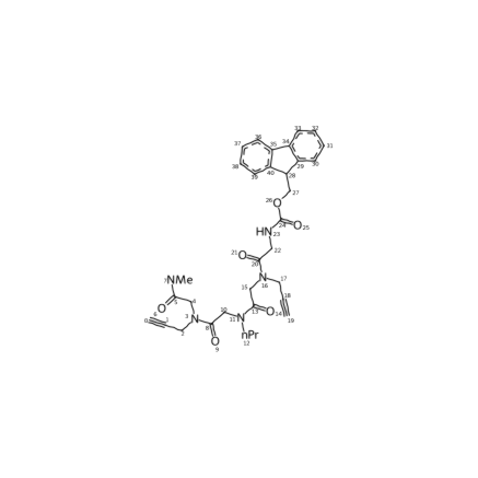 C#CCN(CC(=O)NC)C(=O)CN(CCC)C(=O)CN(CC#C)C(=O)CNC(=O)OCC1c2ccccc2-c2ccccc21